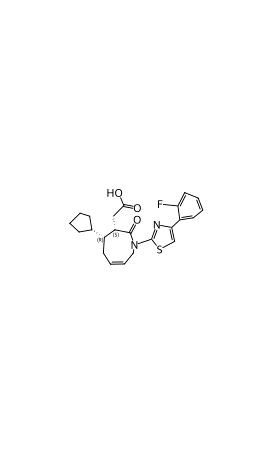 O=C(O)C[C@@H]1C(=O)N(c2nc(-c3ccccc3F)cs2)CC=CC[C@@H]1C1CCCC1